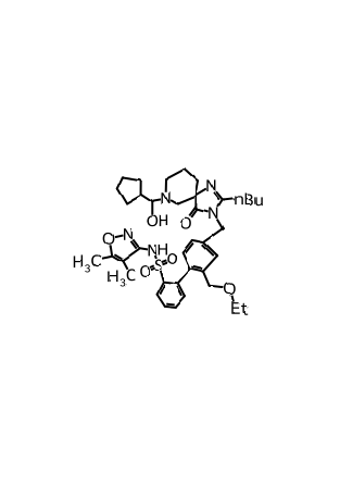 CCCCC1=NC2(CCCN(C(O)C3CCCC3)C2)C(=O)N1Cc1ccc(-c2ccccc2S(=O)(=O)Nc2noc(C)c2C)c(COCC)c1